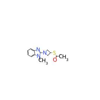 CC(=O)SC1CN(c2nc3ccccc3n2C)C1